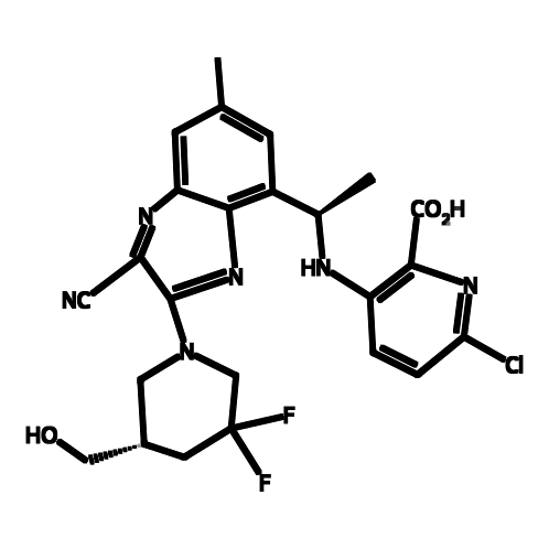 Cc1cc([C@@H](C)Nc2ccc(Cl)nc2C(=O)O)c2nc(N3C[C@@H](CO)CC(F)(F)C3)c(C#N)nc2c1